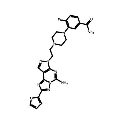 Nc1nc2c(cnn2CCN2CCN(c3cc(C(=O)C(F)(F)F)ccc3F)CC2)c2nc(-c3ccco3)nn12